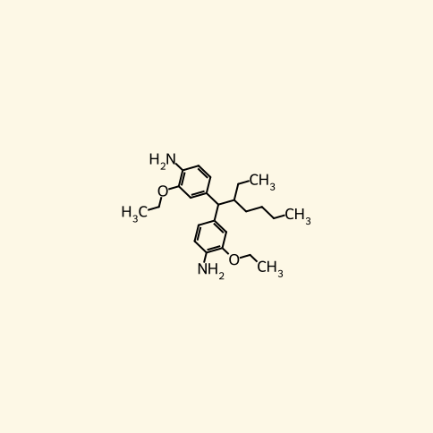 CCCCC(CC)C(c1ccc(N)c(OCC)c1)c1ccc(N)c(OCC)c1